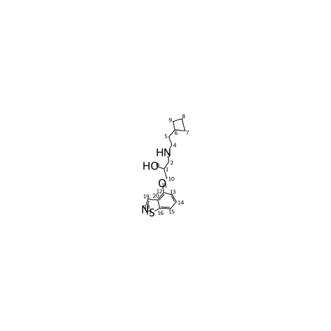 OC(CNCCC1CCC1)COc1cccc2sncc12